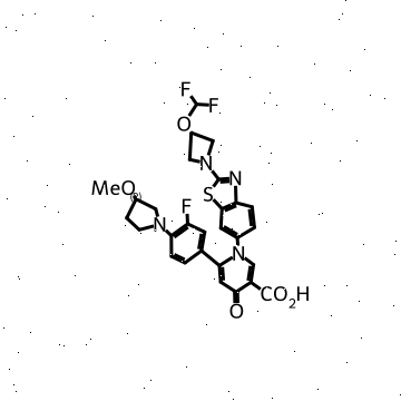 CO[C@@H]1CCN(c2ccc(-c3cc(=O)c(C(=O)O)cn3-c3ccc4nc(N5CC(OC(F)F)C5)sc4c3)cc2F)C1